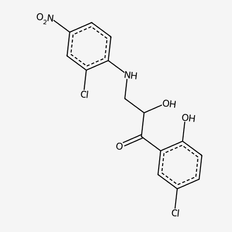 O=C(c1cc(Cl)ccc1O)C(O)CNc1ccc([N+](=O)[O-])cc1Cl